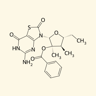 CC[C@H]1O[C@@H](n2c(=O)sc3c(=O)[nH]c(N)nc32)[C@](C)(OC(=O)c2ccccc2)[C@@H]1C